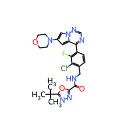 CC(C)(C)c1nnc(C(=O)NCc2ccc(-c3ncnn4cc(N5CCOCC5)cc34)c(F)c2Cl)o1